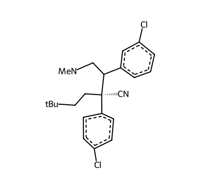 CNCC(c1cccc(Cl)c1)[C@](C#N)(CCC(C)(C)C)c1ccc(Cl)cc1